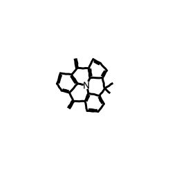 C=C1c2cccc3c2N2c4c1cccc4C(C)(C)c1cccc(c12)C3=C